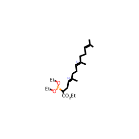 CCOC(=O)C(C/C=C(\C)CC/C=C(\C)CCC=C(C)C)P(OCC)OCC